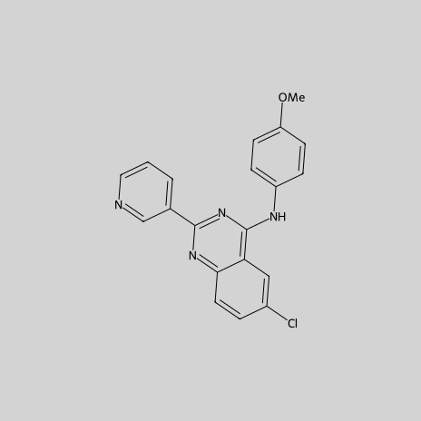 COc1ccc(Nc2nc(-c3cccnc3)nc3ccc(Cl)cc23)cc1